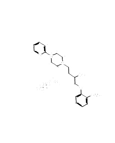 COc1ccccc1OCC(O)CCN1CCN(c2ccccn2)CC1.Cl.Cl.Cl.O